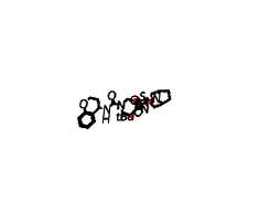 CC(C)(C)OC(=O)N1CC2CCC(C1)N2c1nc2c(s1)CN(C(=O)N[C@H]1CCOc3ccccc31)CC2